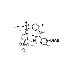 COc1cc([C@@H](Nc2cc(C(N)=O)ccc2F)C(=O)N2CCC[C@@H]2c2cc(N(C)C(=O)O)ccc2S(=O)(=O)C2CC2)ccc1F